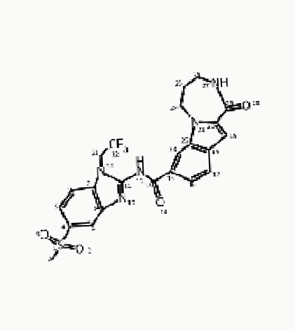 CS(=O)(=O)c1ccc2c(c1)nc(NC(=O)c1ccc3cc4n(c3c1)CCCNC4=O)n2CC(F)(F)F